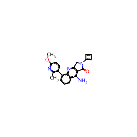 COc1ccc(-c2cccc3c(N)c4c(nc23)CN(C2=CC=C2)C4=O)c(C)n1